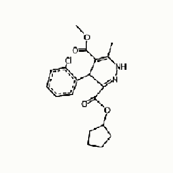 COC(=O)C1=C(C)NN=C(C(=O)OC2CCCC2)C1c1ccccc1Cl